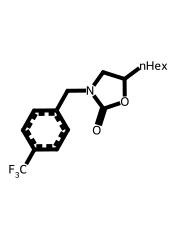 CCCCCCC1CN(Cc2ccc(C(F)(F)F)cc2)C(=O)O1